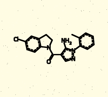 Cc1ccccc1-n1ncc(C(=O)N2CCc3cc(Cl)ccc32)c1N